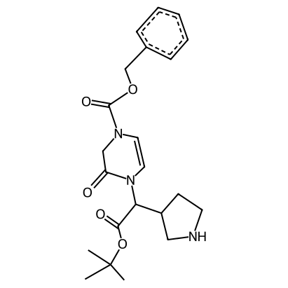 CC(C)(C)OC(=O)C(C1CCNC1)N1C=CN(C(=O)OCc2ccccc2)CC1=O